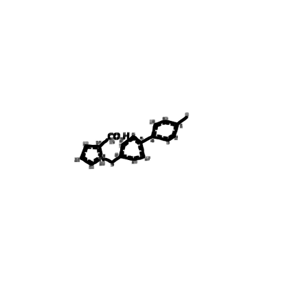 Cc1ccc(-c2ccc(Cn3cccc3C(=O)O)cc2)cc1